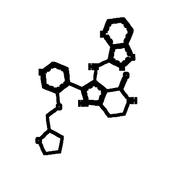 O=C1NCCc2[nH]c(-c3ccncc3OCC3CCCO3)c(Nc3nsc4cccnc34)c21